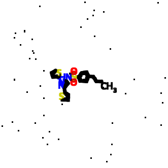 CCCCc1ccc(S(=O)(=O)Nc2cc(-c3cccs3)nn2-c2cccs2)cc1